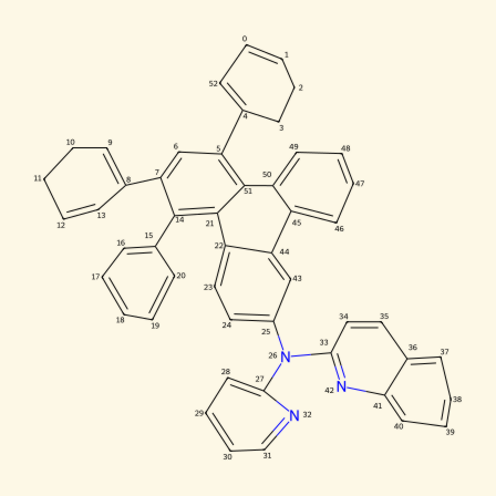 C1=CCCC(c2cc(C3=CCCC=C3)c(-c3ccccc3)c3c4ccc(N(c5ccccn5)c5ccc6ccccc6n5)cc4c4ccccc4c23)=C1